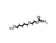 CCOCCCCCOCCOC(N)=O